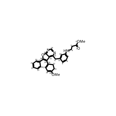 COC(=O)CCNc1cccc(Cc2ncnc3oc(-c4ccccc4)c(C4=CC=C(OC)CC4)c23)c1